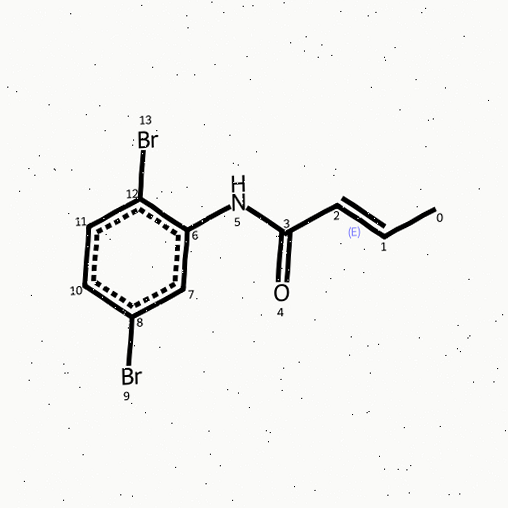 C/C=C/C(=O)Nc1cc(Br)ccc1Br